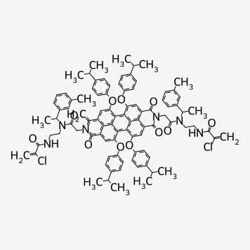 C=C(Cl)C(=O)NCCN(C(=O)CN1C(=O)c2cc(Oc3ccc(C(C)C)cc3)c3c4c(Oc5ccc(C(C)C)cc5)cc5c(=C)n(CC(=O)N(CCNC(=O)C(=C)Cl)C(C)c6cccc(C)c6)c(=O)c6cc(Oc7ccc(C(C)C)cc7)c(c7c(Oc8ccc(C(C)C)cc8)cc(c2c37)C1=O)c4c56)C(C)c1cccc(C)c1